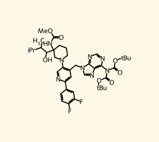 COC(=O)NC1(C(O)C(C)C(C)C)CCCN(c2cnc(-c3ccc(F)c(F)c3)cc2Cn2cnc3c(N(C(=O)OC(C)(C)C)C(=O)OC(C)(C)C)ncnc32)C1